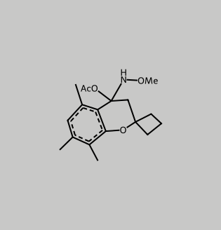 CONC1(OC(C)=O)CC2(CCC2)Oc2c(C)c(C)cc(C)c21